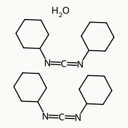 C(=NC1CCCCC1)=NC1CCCCC1.C(=NC1CCCCC1)=NC1CCCCC1.O